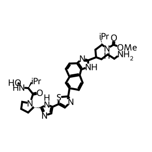 COC(=O)N[C@H](CC(CCCN)c1nc2ccc3cc(-c4ncc(-c5cnc([C@@H]6CCCN6C(=O)[C@@H](NO)C(C)C)[nH]5)s4)ccc3c2[nH]1)C(C)C